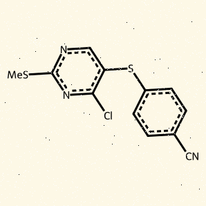 CSc1ncc(Sc2ccc(C#N)cc2)c(Cl)n1